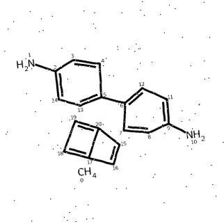 C.Nc1ccc(-c2ccc(N)cc2)cc1.c1cc2ccc1-2